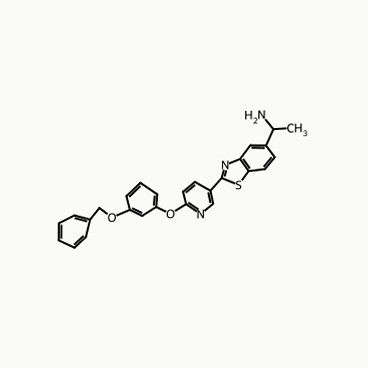 CC(N)c1ccc2sc(-c3ccc(Oc4cccc(OCc5ccccc5)c4)nc3)nc2c1